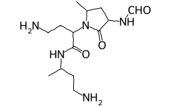 CC(CCN)NC(=O)C(CCN)N1C(=O)C(NC=O)CC1C